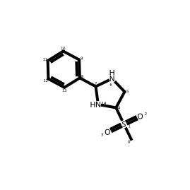 CS(=O)(=O)C1CNC(c2ccccc2)N1